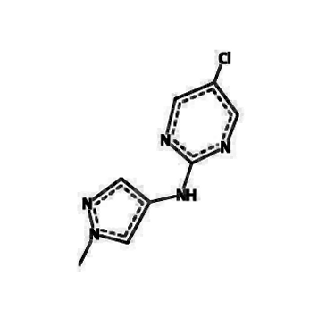 Cn1cc(Nc2ncc(Cl)cn2)cn1